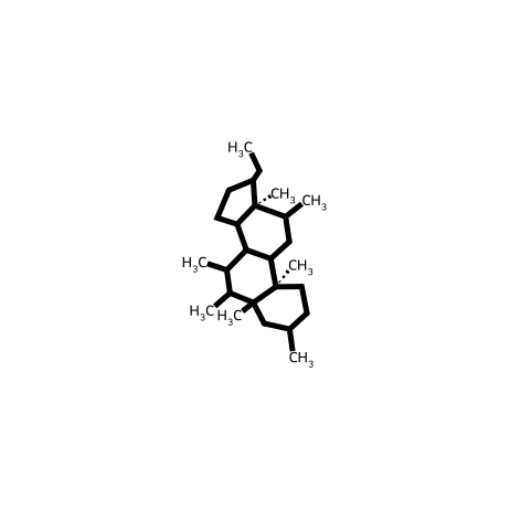 CCC1CCC2C3C(C)C(C)C4(C)CC(C)CC[C@]4(C)C3CC(C)[C@]12C